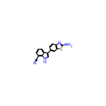 N#Cc1cccc2c(-c3ccc4nc(N)sc4c3)c[nH]c12